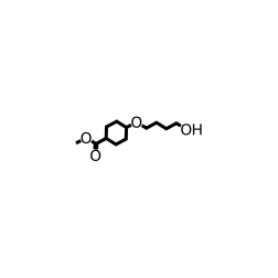 COC(=O)C1CCC(OCCCCO)CC1